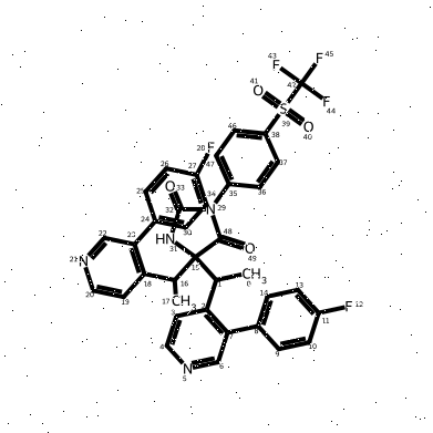 CC(c1ccncc1-c1ccc(F)cc1)C1(C(C)c2ccncc2-c2ccc(F)cc2)NC(=O)N(c2ccc(S(=O)(=O)C(F)(F)F)cc2)C1=O